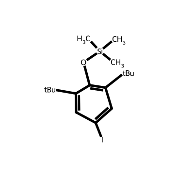 CC(C)(C)c1cc(I)cc(C(C)(C)C)c1O[Si](C)(C)C